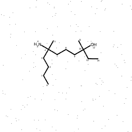 CCCCC(C)(N)CCCC(C)(O)CC